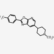 O=C(O)N1CCC(c2cnc3oc(-c4ccc(C(F)(F)F)cc4)nc3c2)CC1